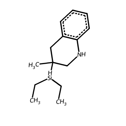 CC[SiH](CC)C1(C)CNc2ccccc2C1